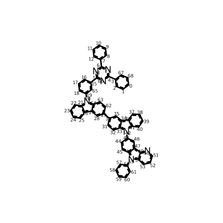 c1ccc(-c2nc(-c3ccccc3)nc(-c3cccc(-n4c5ccccc5c5cc(-c6ccc7c(c6)c6ccccc6n7-c6ccc7c(c6)c6ncccc6n7-c6ccccc6)ccc54)c3)n2)cc1